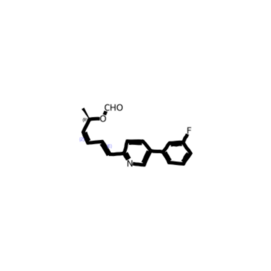 C[C@H](/C=C\C=C\c1ccc(-c2cccc(F)c2)cn1)OC=O